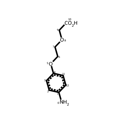 Nc1ccc(OCCOCC(=O)O)cc1